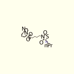 CCC/C=C1/SC(=O)N(CCCCS(=O)(=O)c2cccc3nccn23)C1=O